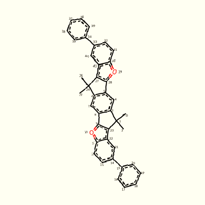 CC1(C)c2cc3c(cc2-c2oc4ccc(-c5ccccc5)cc4c21)C(C)(C)c1c-3oc2ccc(-c3ccccc3)cc12